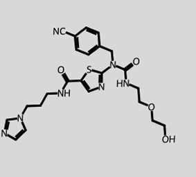 N#Cc1ccc(CN(C(=O)NCCOCCO)c2ncc(C(=O)NCCCn3ccnc3)s2)cc1